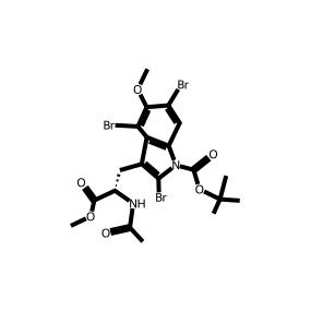 COC(=O)[C@H](Cc1c(Br)n(C(=O)OC(C)(C)C)c2cc(Br)c(OC)c(Br)c12)NC(C)=O